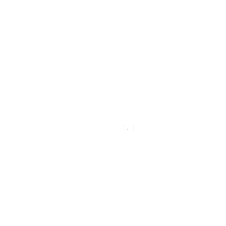 O=S(=O)(O)CCCCCCCCCCBr.[NaH]